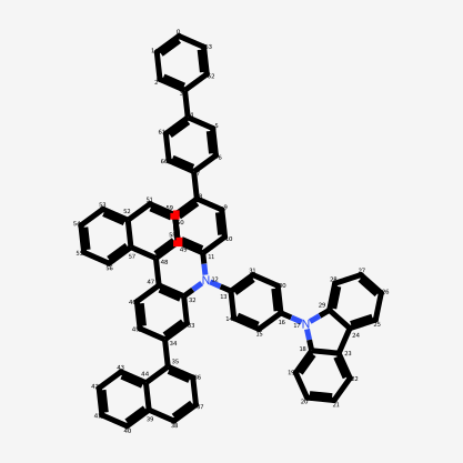 c1ccc(-c2ccc(-c3ccc(N(c4ccc(-n5c6ccccc6c6ccccc65)cc4)c4cc(-c5cccc6ccccc56)ccc4-c4cccc5ccccc45)cc3)cc2)cc1